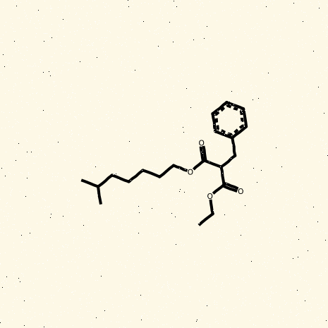 CCOC(=O)C(Cc1ccccc1)C(=O)OCCCCCC(C)C